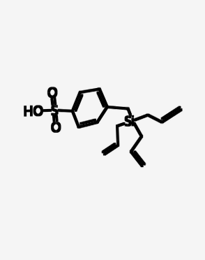 C=CC[Si](CC=C)(CC=C)Cc1ccc(S(=O)(=O)O)cc1